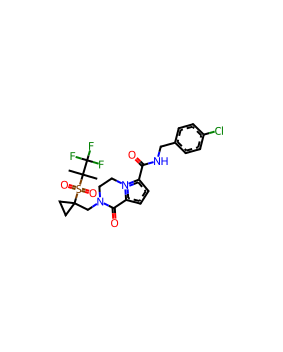 CC(C)(C(F)(F)F)S(=O)(=O)C1(CN2CCn3c(C(=O)NCc4ccc(Cl)cc4)ccc3C2=O)CC1